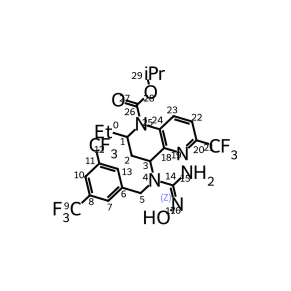 CCC1CC(N(Cc2cc(C(F)(F)F)cc(C(F)(F)F)c2)/C(N)=N\O)c2nc(C(F)(F)F)ccc2N1C(=O)OC(C)C